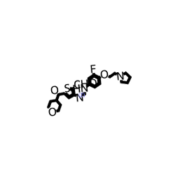 O=Cc1sc(C(=O)C2CCOCC2)cc1/N=C\Nc1ccc(OCCN2CCCC2)c(F)c1